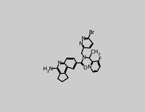 CC(c1ncccc1F)N(Cc1ccc(Br)nn1)C(=O)c1ccc2nc(N)c3c(c2c1)CCC3